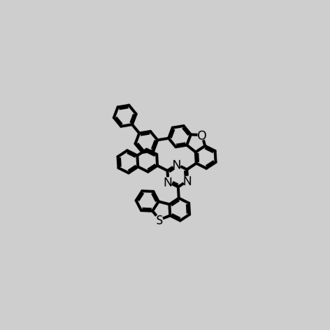 c1ccc(-c2cccc(-c3ccc4oc5cccc(-c6nc(-c7ccc8ccccc8c7)nc(-c7cccc8sc9ccccc9c78)n6)c5c4c3)c2)cc1